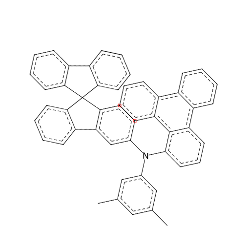 Cc1cc(C)cc(N(c2ccc3c(c2)-c2ccccc2C32c3ccccc3-c3ccccc32)c2cccc3c4ccccc4c4ccccc4c23)c1